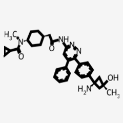 CN(C(=O)C1CC1)[C@H]1CC[C@H](CC(=O)Nc2cc(-c3ccccc3)c(-c3ccc([C@]4(N)C[C@](C)(O)C4)cc3)nn2)CC1